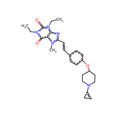 CCn1c(=O)c2c(nc(/C=C/c3ccc(OC4CCN(C5=CC5)CC4)cc3)n2C)n(CC)c1=O